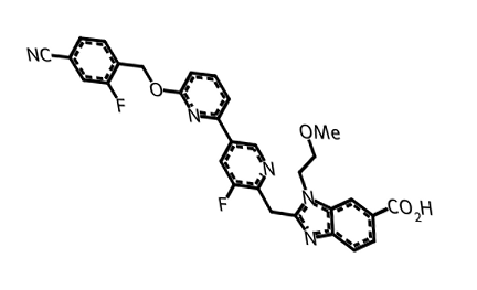 COCCn1c(Cc2ncc(-c3cccc(OCc4ccc(C#N)cc4F)n3)cc2F)nc2ccc(C(=O)O)cc21